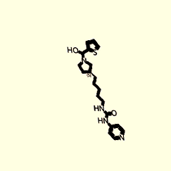 O=C(NCCCCC[C@H]1CCN(C(O)c2cccs2)C1)Nc1ccncc1